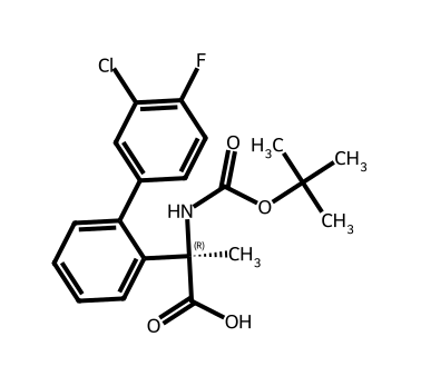 CC(C)(C)OC(=O)N[C@@](C)(C(=O)O)c1ccccc1-c1ccc(F)c(Cl)c1